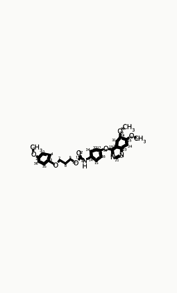 COc1ccc(OCCCOC(=O)Nc2ccc(Oc3ncnc4cc(OC)c(OC)cc34)cc2)cc1